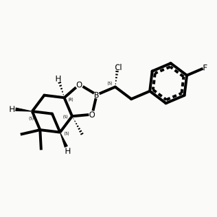 CC1(C)[C@@H]2C[C@H]3OB([C@H](Cl)Cc4ccc(F)cc4)O[C@@]3(C)[C@H]1C2